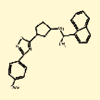 COc1ccc(-c2noc(C3CCC(N[C@H](C)c4cccc5ccccc45)C3)n2)cc1